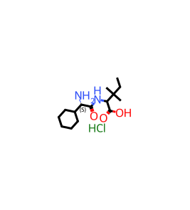 CCC(C)(C)C(NC(=O)[C@@H](N)C1CCCCC1)C(=O)O.Cl